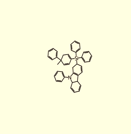 CC1(c2ccccc2)C=CC([Si](c2ccccc2)(c2ccccc2)C2C=CC3=C(C2)N(c2ccccc2)C2C=CC=CC32)=CC1